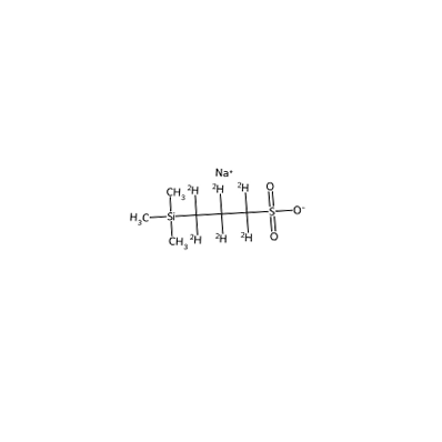 [2H]C([2H])(C([2H])([2H])[Si](C)(C)C)C([2H])([2H])S(=O)(=O)[O-].[Na+]